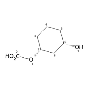 O=C(O)O[C@@H]1CCC[C@H](O)C1